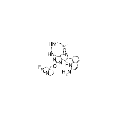 C[C@H]1CCNCCNc2nc(OCC34CCCN3C[C@H](F)C4)nc3c(F)c(-c4cccc5ccc(N)nc45)nc(c23)O1